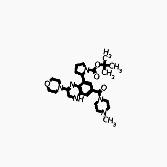 CN1CCN(C(=O)c2cc3c(c(C4CCCN4C(=O)OC(C)(C)C)c2)N=C(N2CCOCC2)CN3)CC1